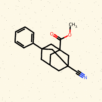 COC(=O)C12CC3CC(C#N)(C1)CC(c1ccccc1)(C3)C2